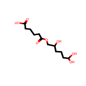 O=C(O)CCCCC(=O)OCC(O)CCCC(O)O